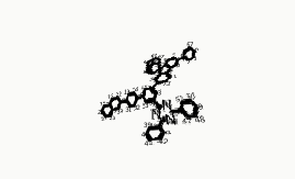 c1ccc(-c2ccc3c(c2)-c2ccc(-c4cc(-c5ccc(-c6ccc7ccccc7c6)cc5)cc(-c5nc(-c6ccccc6)nc(-c6ccccc6)n5)c4)cc2C32C3CC4CC(C3)CC2C4)cc1